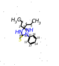 CCCC1(CCC)NC(=S)N(c2ccccc2)N1